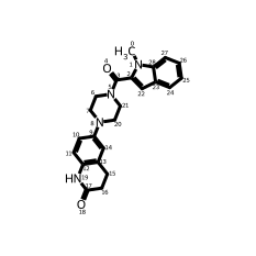 Cn1c(C(=O)N2CCN(c3ccc4c(c3)CCC(=O)N4)CC2)cc2ccccc21